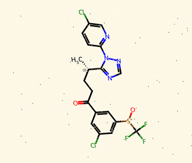 C[C@@H](CCC(=O)c1cc(Cl)cc([S+]([O-])C(F)(F)F)c1)c1ncnn1-c1ccc(Cl)cn1